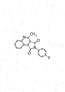 Cc1nc2ccccc2c2c1C(=O)N(c1ccc(F)cc1)C2=O